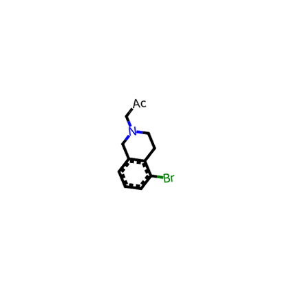 CC(=O)CN1CCc2c(Br)cccc2C1